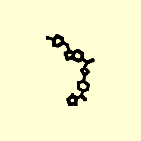 O=C(c1ccc2c(cnn2Cc2ccc(F)cc2)c1)N1CC(N2CCN(C(=O)c3nccs3)CC2)C1